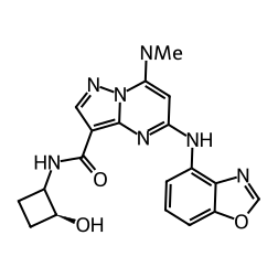 CNc1cc(Nc2cccc3ocnc23)nc2c(C(=O)NC3CC[C@@H]3O)cnn12